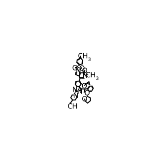 C#CC1CCN(c2nc(C(COC3CCCCO3)(OC3CC3)c3ccccc3)c3cc(-c4cn(C)c(=O)c5c4ccn5S(=O)(=O)c4ccc(C)cc4)ccc3n2)CC1